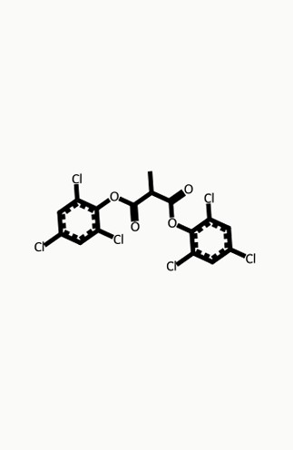 CC(C(=O)Oc1c(Cl)cc(Cl)cc1Cl)C(=O)Oc1c(Cl)cc(Cl)cc1Cl